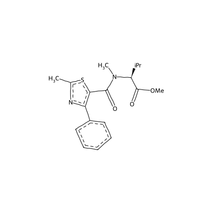 COC(=O)[C@H](C(C)C)N(C)C(=O)c1sc(C)nc1-c1ccccc1